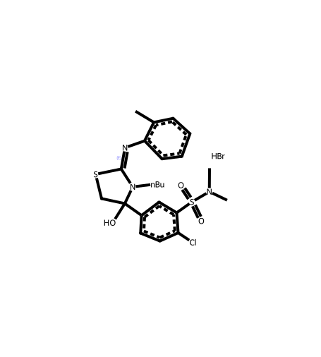 Br.CCCCN1/C(=N\c2ccccc2C)SCC1(O)c1ccc(Cl)c(S(=O)(=O)N(C)C)c1